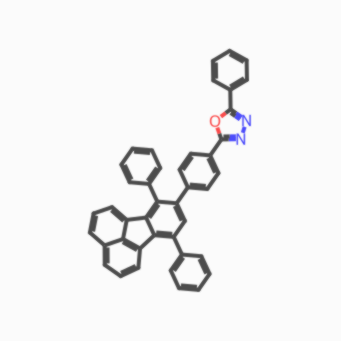 c1ccc(-c2nnc(-c3ccc(-c4cc(-c5ccccc5)c5c(c4-c4ccccc4)-c4cccc6cccc-5c46)cc3)o2)cc1